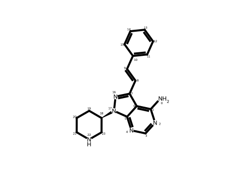 Nc1ncnc2c1c(/C=C/c1ccccc1)nn2[C@@H]1CCCNC1